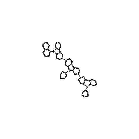 c1ccc(-n2c3cc(-c4ccc5c(c4)c4ccccc4n5-c4ccccn4)ccc3c3ccc(-c4ccc5c(c4)c4ccccc4n5-c4cccc5ccccc45)cc32)cc1